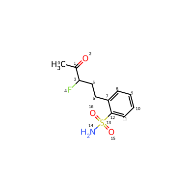 CC(=O)C(F)CCc1ccccc1S(N)(=O)=O